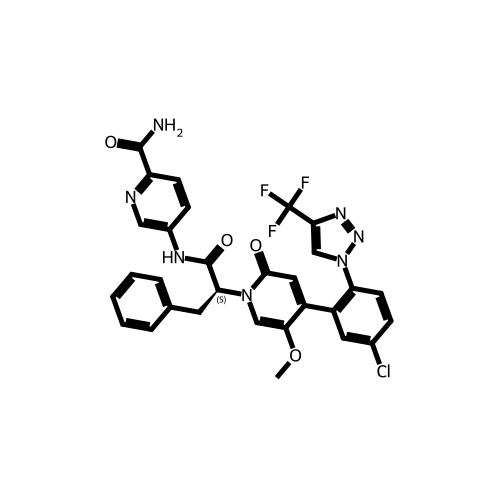 COc1cn([C@@H](Cc2ccccc2)C(=O)Nc2ccc(C(N)=O)nc2)c(=O)cc1-c1cc(Cl)ccc1-n1cc(C(F)(F)F)nn1